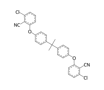 CC(C)(c1ccc(Oc2cccc(Cl)c2C#N)cc1)c1ccc(Oc2cccc(Cl)c2C#N)cc1